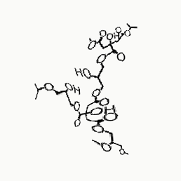 COCC(COC(=O)CC(O)(CC(=O)OCC(O)COC(=O)C(O)(CC(=O)OC)CC(=O)OC(C)C)C(=O)OCC(O)COC(C)C)OC